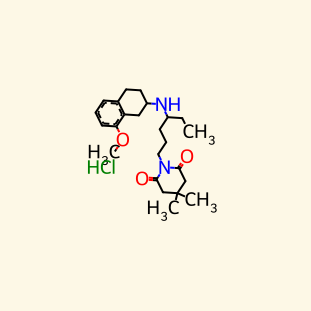 CCC(CCCN1C(=O)CC(C)(C)CC1=O)NC1CCc2cccc(OC)c2C1.Cl